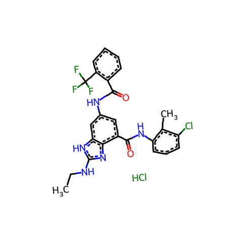 CCNc1nc2c(C(=O)Nc3cccc(Cl)c3C)cc(NC(=O)c3ccccc3C(F)(F)F)cc2[nH]1.Cl